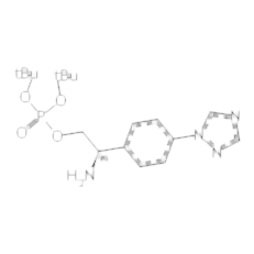 CC(C)(C)OP(=O)(OC[C@H](N)c1ccc(-n2cncn2)cc1)OC(C)(C)C